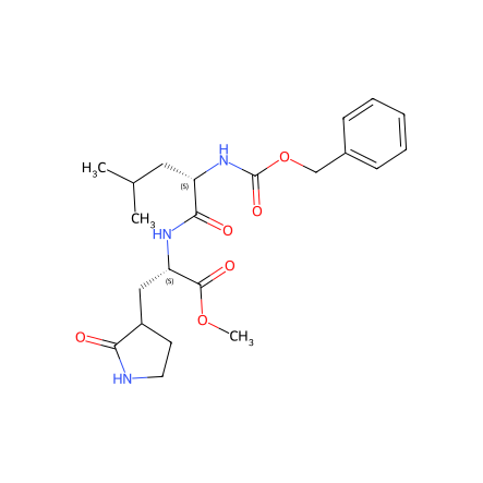 COC(=O)[C@H](CC1CCNC1=O)NC(=O)[C@H](CC(C)C)NC(=O)OCc1ccccc1